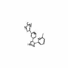 Cc1cccc(-c2n[nH]cc2-c2cccc(-c3cnsn3)c2)n1